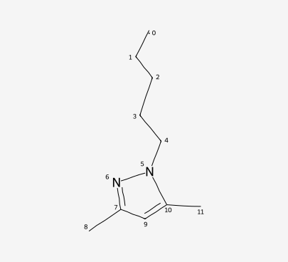 [CH2]CCCCn1nc(C)cc1C